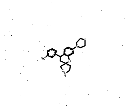 Oc1cccc(C2CC3(CCNCC3)Oc3cc(N4CCOCC4)ccc32)c1